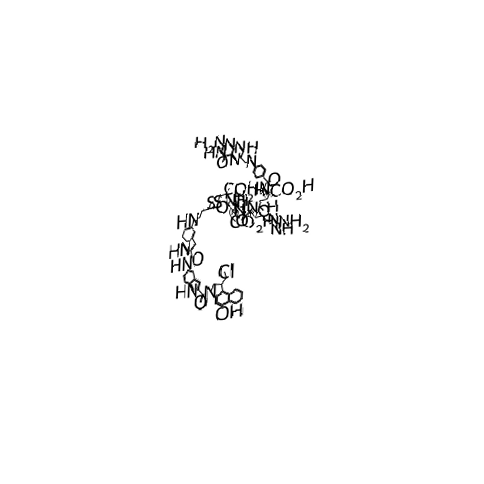 N=C(N)NCCC[C@@H](NC(=O)CC[C@@H](NC(=O)c1ccc(NCc2cnc3nc(N)[nH]c(=O)c3n2)cc1)C(=O)O)C(=O)N[C@H](CC(=O)O)C(=O)NC(CSSCCCNC1=CCC2NC(C(=O)Nc3ccc4[nH]c(C(=O)N5CC(CCl)c6c5cc(O)c5ccccc65)cc4c3)=CC2=C1)C(=O)O